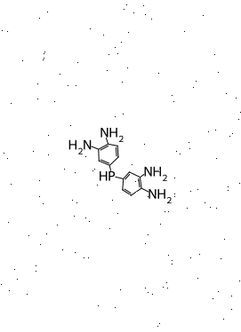 Nc1ccc(Pc2ccc(N)c(N)c2)cc1N